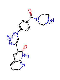 N=N/C(=C\Nc1ccc(C(=O)N2CCNCC2)cc1)c1cc2cccnc2[nH]c1=O